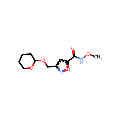 CONC(=O)c1cc(COC2CCCCO2)no1